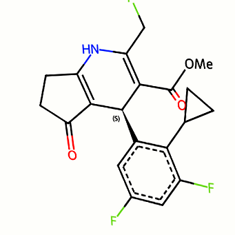 COC(=O)C1=C(CF)NC2=C(C(=O)CC2)[C@@H]1c1cc(F)cc(F)c1C1CC1